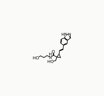 O=C(NCCCO)C1(CO)CC1/C=C/c1ccc2[nH]ncc2c1